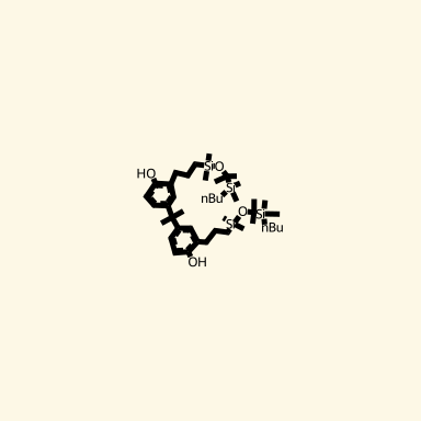 CCCC[Si](C)(C)C(C)(C)O[Si](C)(C)CCCc1cc(C(C)(C)c2ccc(O)c(CCC[Si](C)(C)OC(C)(C)[Si](C)(C)CCCC)c2)ccc1O